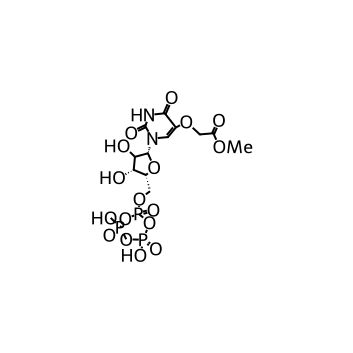 COC(=O)COc1cn([C@@H]2O[C@H](COP3(=O)OP(=O)(O)OP(=O)(O)O3)[C@H](O)C2O)c(=O)[nH]c1=O